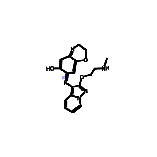 CNCCOc1nn2ccccc2c1/N=C1\C=C2OCCN=C2C=C1O